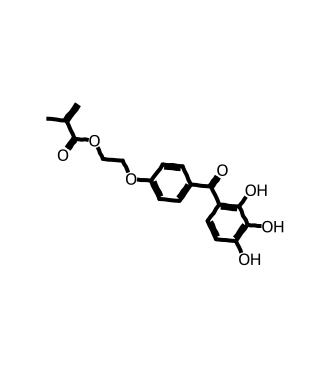 C=C(C)C(=O)OCCOc1ccc(C(=O)c2ccc(O)c(O)c2O)cc1